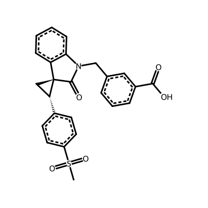 CS(=O)(=O)c1ccc([C@@H]2C[C@@]23C(=O)N(Cc2cccc(C(=O)O)c2)c2ccccc23)cc1